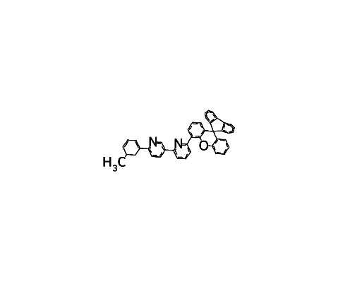 CC1C=CC=C(c2ccc(-c3cccc(-c4cccc5c4Oc4ccccc4C54c5ccccc5-c5ccccc54)n3)cn2)C1